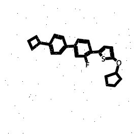 Fc1cc(-c2ccc(C3CCC3)cc2)ccc1-c1ccc(OC2CCCC2)s1